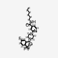 CCCCCCNC(=O)c1ccnc(N2CCN(C(=O)c3cc(F)ccc3C(F)(F)F)CC2)c1